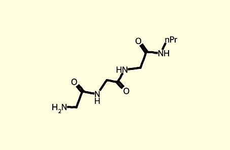 CCCNC(=O)CNC(=O)CNC(=O)CN